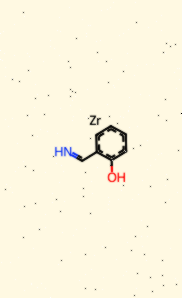 N=Cc1ccccc1O.[Zr]